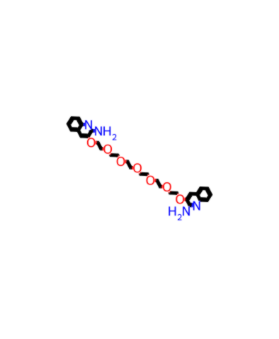 Nc1nc2ccccc2cc1OCCOCCOCCOCCOCCOCCOc1cc2ccccc2nc1N